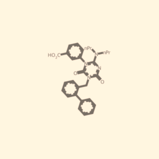 CCCN(CCC)c1nc(=O)n(Cc2ccccc2-c2ccccc2)c(=O)n1-c1cccc(C(=O)O)c1